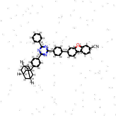 N#Cc1ccc2c(c1)oc1cc(-c3ccc(-c4nc(-c5ccccc5)nc(-c5ccc(C67C[C@H]8C[C@@H](C6)C[C@@H](C7)C8)cc5)n4)cc3)ccc12